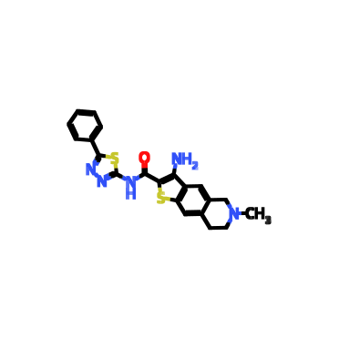 CN1CCc2cc3sc(C(=O)Nc4nnc(-c5ccccc5)s4)c(N)c3cc2C1